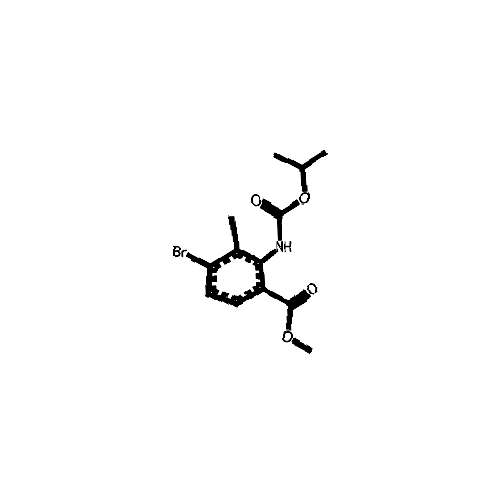 COC(=O)c1ccc(Br)c(C)c1NC(=O)OC(C)C